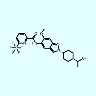 COc1cc2nn([C@H]3CC[C@H](C(C)S)CC3)cc2cc1NC(=O)c1cccc(S(F)(F)(F)(F)F)n1